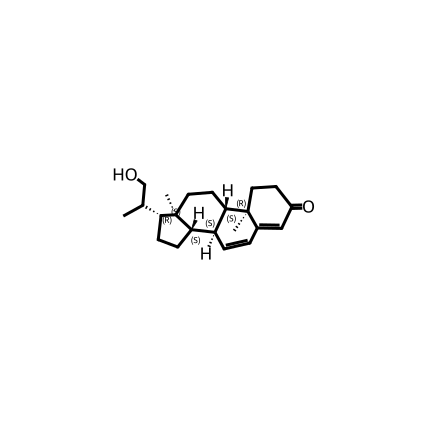 CC(CO)[C@H]1CC[C@H]2[C@@H]3C=CC4=CC(=O)CC[C@]4(C)[C@H]3CC[C@]12C